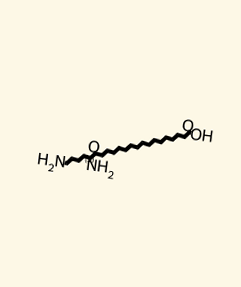 NCCCC[C@H](N)C(=O)CCCCCCCCCCCCCCCC(=O)O